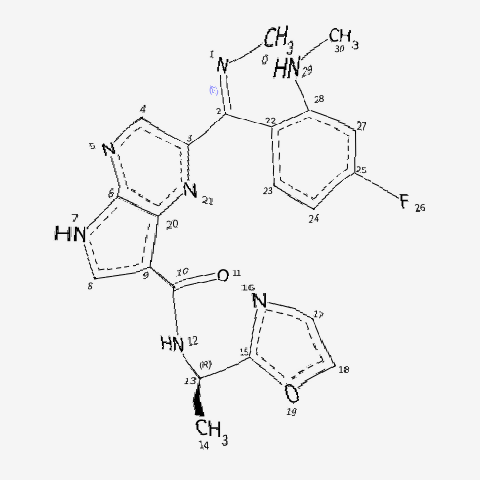 C/N=C(/c1cnc2[nH]cc(C(=O)N[C@H](C)c3ncco3)c2n1)c1ccc(F)cc1NC